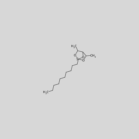 CCCCCCCCCC[Si]12OC(C)C(O1)C(C)O2